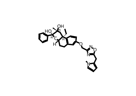 CC[C@@]12C[C@@](C)(O)[C@](O)(c3ccccc3)C[C@H]1CCc1cc(OCc3noc(Cc4cccn4C)n3)ccc12